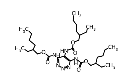 CCCCC(CC)COC(=O)Nc1nnnc(NC(=O)OCC(CC)CCCC)c1NC(=O)OCC(CC)CCCC